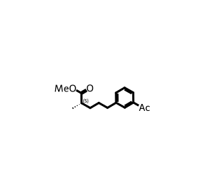 COC(=O)[C@@H](C)CCCc1cccc(C(C)=O)c1